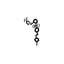 O=S(=O)(c1ccc(C=Cc2ccc(F)cc2)cc1)c1ccccc1CN1CCC(F)(F)C1